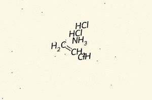 C=C.Cl.Cl.Cl.N